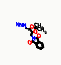 CC1(C)OC(CN2C(=O)c3ccccc3C2=O)[C@@H](CN=[N+]=[N-])O1